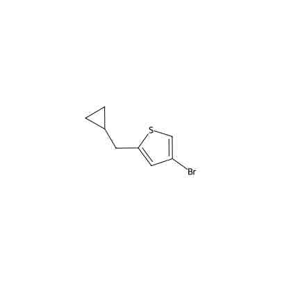 Brc1csc(CC2CC2)c1